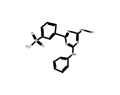 CC(C)Nc1nc(Nc2ccccc2)nc(-c2cccc(S(C)(=O)=O)c2)n1